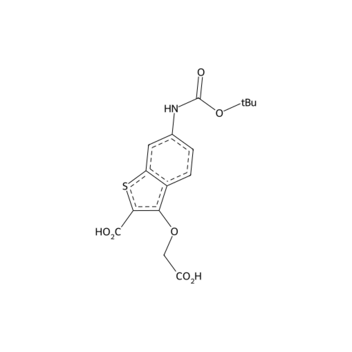 CC(C)(C)OC(=O)Nc1ccc2c(OCC(=O)O)c(C(=O)O)sc2c1